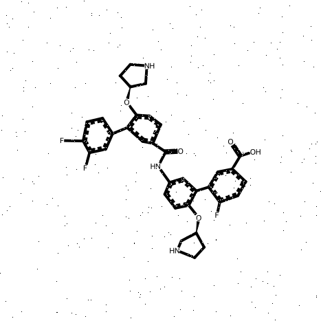 O=C(O)c1ccc(F)c(-c2cc(NC(=O)c3ccc(O[C@H]4CCNC4)c(-c4ccc(F)c(F)c4)c3)ccc2O[C@H]2CCNC2)c1